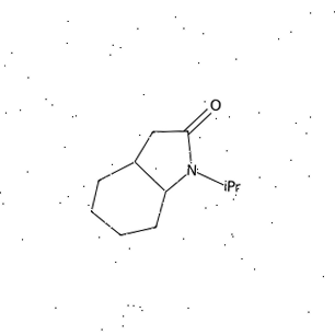 CC(C)N1C(=O)CC2CCCCC21